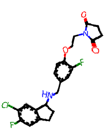 O=C1CCC(=O)N1CCOc1ccc(CNC2CCc3cc(F)c(Cl)cc32)cc1F